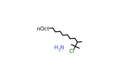 CCCCCCCCCCCCCCCC(C)C(C)(C)Cl.N